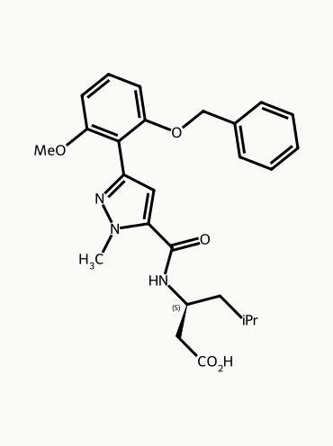 COc1cccc(OCc2ccccc2)c1-c1cc(C(=O)N[C@H](CC(=O)O)CC(C)C)n(C)n1